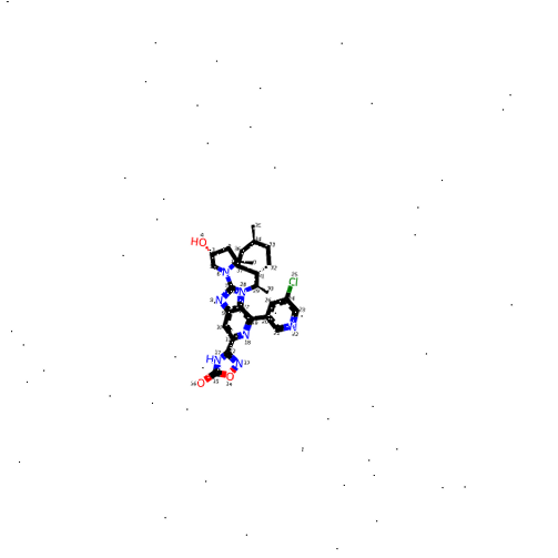 C[C@@H]1C[C@@H](O)CN1c1nc2cc(-c3noc(=O)[nH]3)nc(-c3cncc(Cl)c3)c2n1[C@H](C)[C@H]1CC[C@H](C)CC1